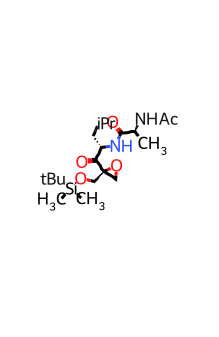 CC(=O)N[C@@H](C)C(=O)N[C@@H](CC(C)C)C(=O)[C@@]1(CO[Si](C)(C)C(C)(C)C)CO1